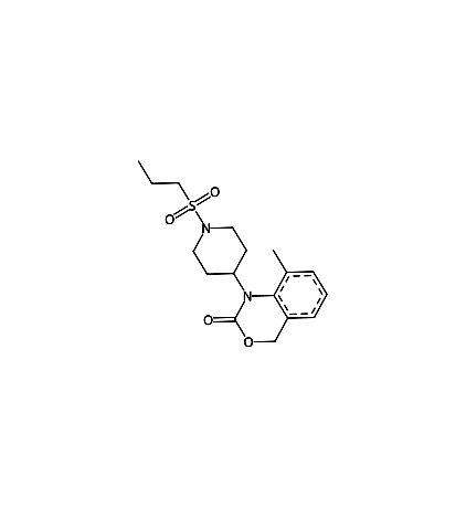 CCCS(=O)(=O)N1CCC(N2C(=O)OCc3cccc(C)c32)CC1